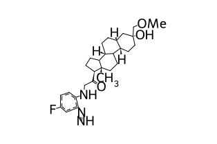 COC[C@@]1(O)CC[C@@H]2C3CC[C@@]4(C)C(CC[C@@H]4C(=O)CNc4ccc(F)cc4N=N)[C@@H]3CC[C@@H]2C1